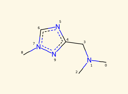 CN(C)Cc1ncn(C)n1